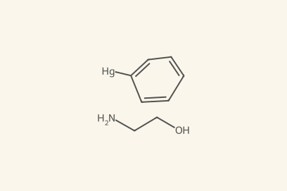 NCCO.[Hg][c]1ccccc1